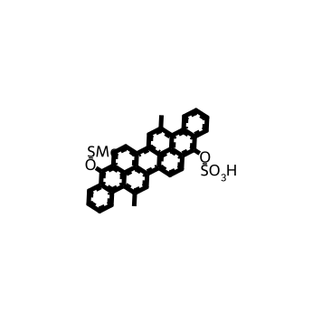 CSOc1c2ccccc2c2c(C)cc3c4ccc5c(OS(=O)(=O)O)c6ccccc6c6c(C)cc(c7ccc1c2c37)c4c56